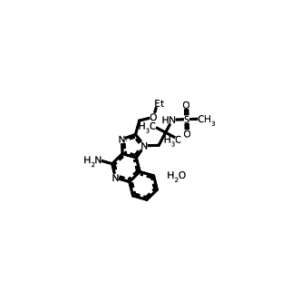 CCOCc1nc2c(N)nc3ccccc3c2n1CC(C)(C)NS(C)(=O)=O.O